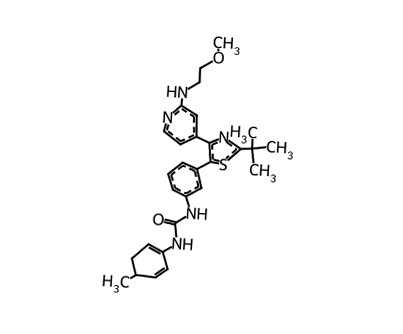 COCCNc1cc(-c2nc(C(C)(C)C)sc2-c2cccc(NC(=O)NC3=CCC(C)C=C3)c2)ccn1